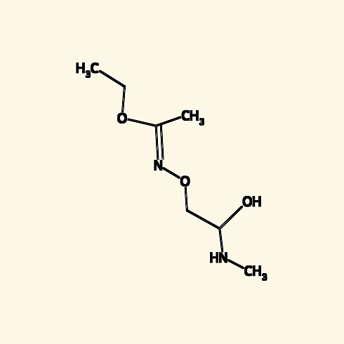 CCO/C(C)=N/OCC(O)NC